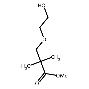 COC(=O)C(C)(C)COCCO